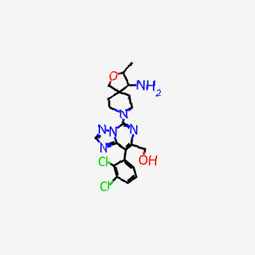 CC1OCC2(CCN(c3nc(CO)c(-c4cccc(Cl)c4Cl)c4ncnn34)CC2)C1N